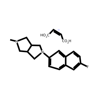 CN1CC2CN(c3ccc4cc(F)ccc4c3)CC2C1.O=C(O)/C=C\C(=O)O